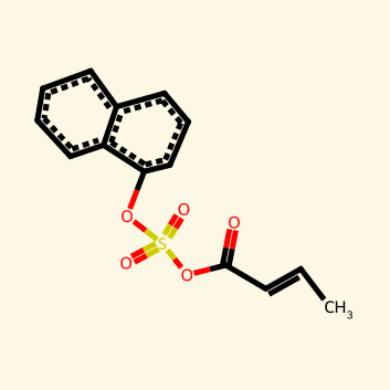 CC=CC(=O)OS(=O)(=O)Oc1cccc2ccccc12